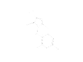 Cc1nc(C=O)c(C)n1Cc1ccc(Br)cc1Cl